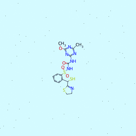 COc1nc(C)nc(NC(=O)NS(=O)(=O)c2ccccc2C(S)C2=NCCS2)n1